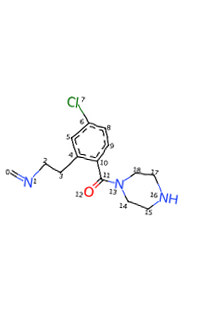 C=NCCc1cc(Cl)ccc1C(=O)N1CCNCC1